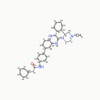 CN1CCN(c2cnc3ccc(-c4ccc(NC(=O)Cc5ccccc5)cc4)cc3n2)C(c2ccccc2)C1